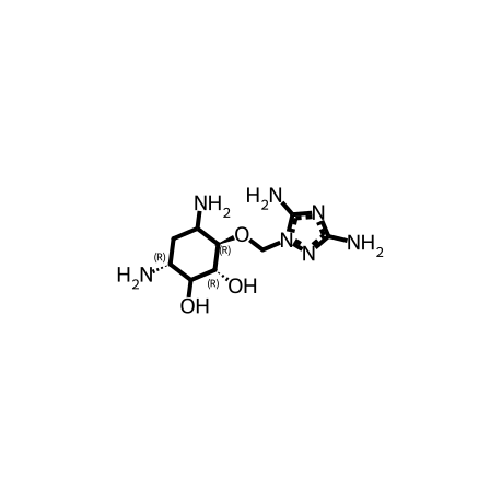 Nc1nc(N)n(CO[C@@H]2C(N)C[C@@H](N)C(O)[C@H]2O)n1